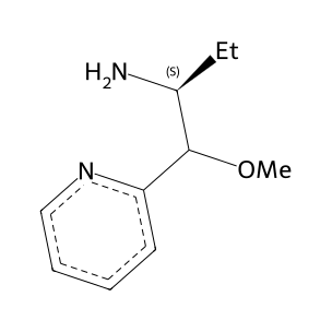 CC[C@H](N)C(OC)c1ccccn1